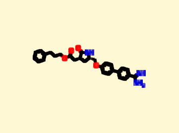 N=C(N)c1ccc(-c2ccc(OC[C@@H]3C[C@@H](CC(=O)OCCCc4ccccc4)C(=O)N3)cc2)cc1